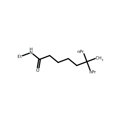 CCCC(C)(CCC)CCCCC(=O)NCC